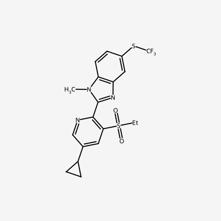 CCS(=O)(=O)c1cc(C2CC2)cnc1-c1nc2cc(SC(F)(F)F)ccc2n1C